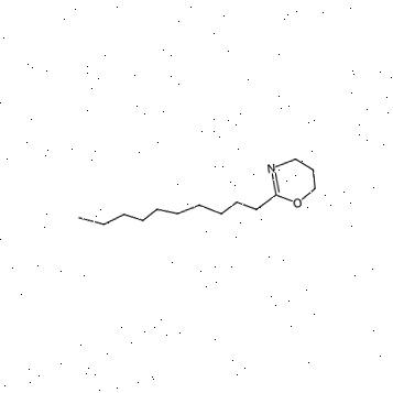 CCCCCCCCCCC1=NCCCO1